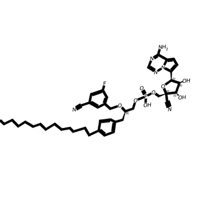 CCCCCCCCCCCCCCc1ccc(C[C@H](COP(=O)(O)OC[C@@]2(C#N)O[C@@H](c3ccc4c(N)ncnn34)[C@H](O)[C@@H]2O)OCc2cc(F)cc(C#N)c2)cc1